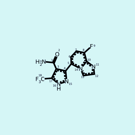 NC(=O)c1c(-c2ccc(F)c3nccn23)n[nH]c1C(F)(F)F